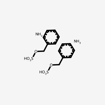 N.N.O=S(=O)(O)OCc1ccccc1.O=S(=O)(O)OCc1ccccc1